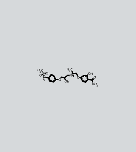 CC(COc1ccc(C(N)=O)c(O)c1)NCC(O)COc1ccc(NS(C)(=O)=O)cc1